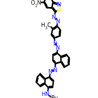 CCC(C)Nc1ccc(/N=N/c2ccc(/N=N/c3ccc(/N=N/c4snc5c4C=C([N+](=O)[O-])CC5)c(C)c3)c3ccccc23)c2ccccc12